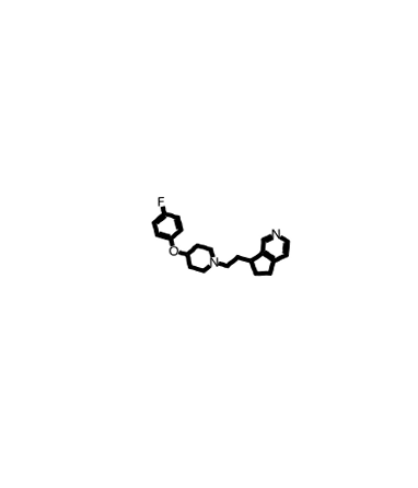 Fc1ccc(OC2CCN(CCC3CCc4ccncc43)CC2)cc1